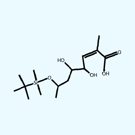 CC(=CC(O)C(O)CC(C)O[Si](C)(C)C(C)(C)C)C(=O)O